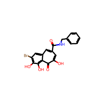 O=C(NCc1ccccc1)c1cc(O)c(=O)c2c(O)c(O)c(Br)cc2c1